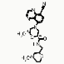 C[C@@H]1CN(c2ccc(C#N)c3nccnc23)C[C@H](C(=O)NCC2CN(C)CCO2)O1